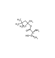 C[C@@H](O)[C@H](N)C(=O)OC(C)(C)CC(C)(C)C